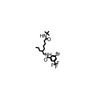 CCCC(CCCCC(=O)NC(C)(C)C)CNC(=O)c1cc(Br)cc(C(F)(F)F)c1